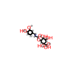 COc1cc(/C=C/C(=O)O[C@@H]2C[C@](O)(C(=O)O)C[C@@H](O)[C@H]2O)ccc1O